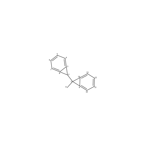 CC1(C2c3ccccc32)c2ccccc21